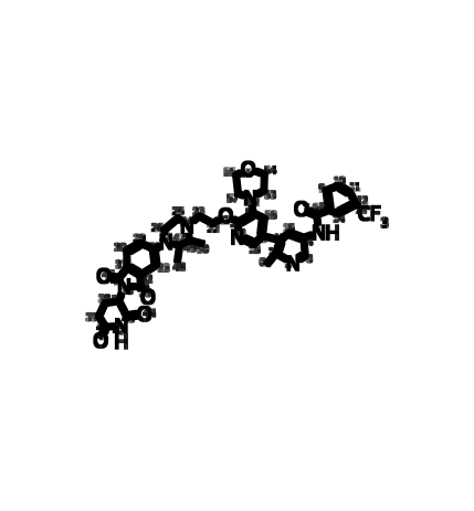 Cc1ncc(NC(=O)c2cccc(C(F)(F)F)c2)cc1-c1cnc(OCCN2CCN(c3ccc4c(c3)C(=O)N(C3CCC(=O)NC3=O)C4=O)C(C)C2C)c(N2CCOCC2)c1